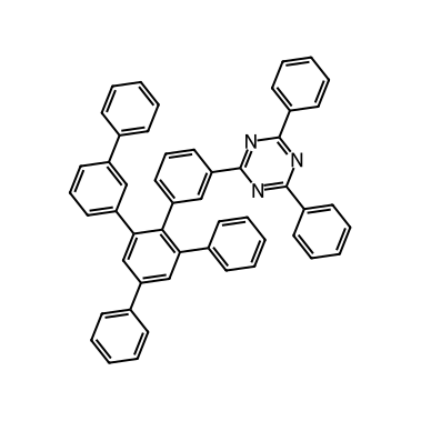 c1ccc(-c2cccc(-c3cc(-c4ccccc4)cc(-c4ccccc4)c3-c3cccc(-c4nc(-c5ccccc5)nc(-c5ccccc5)n4)c3)c2)cc1